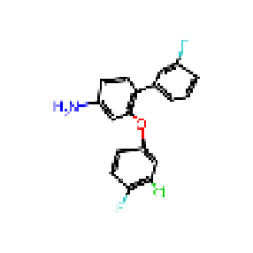 Nc1ccc(-c2cccc(F)c2)c(Oc2ccc(F)c(Cl)c2)c1